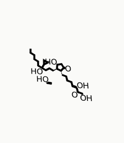 C=CO.CCCCCCC(O)(CCC[C@H]1[C@H](O)CC(=O)[C@@H]1CCCCC=C(O)C(=O)CO)C1CC1